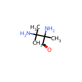 CC(C)(N)C(C)(N)C=O